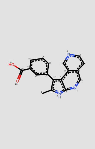 Cc1[nH]c2ncc3ccncc3c2c1-c1cccc(C(=O)O)c1